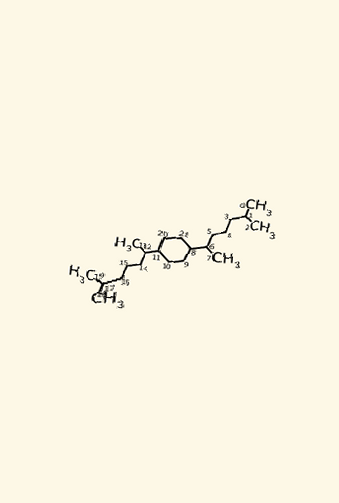 CC(C)CCCC(C)C1CCC(C(C)CCCC(C)C)CC1